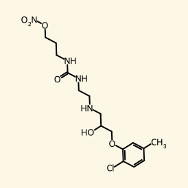 Cc1ccc(Cl)c(OCC(O)CNCCNC(=O)NCCCO[N+](=O)[O-])c1